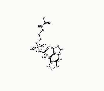 CC(=O)NCCCCS(=O)(=O)NC(=O)Nc1c2c(cc3c1CCC3)CCC2